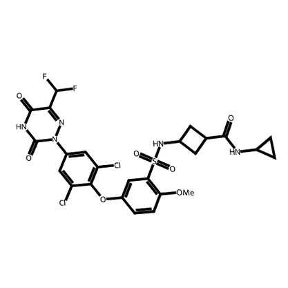 COc1ccc(Oc2c(Cl)cc(-n3nc(C(F)F)c(=O)[nH]c3=O)cc2Cl)cc1S(=O)(=O)NC1CC(C(=O)NC2CC2)C1